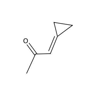 CC(=O)C=C1CC1